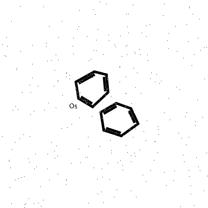 [Os].c1ccccc1.c1ccccc1